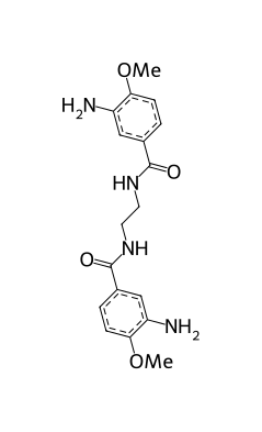 COc1ccc(C(=O)NCCNC(=O)c2ccc(OC)c(N)c2)cc1N